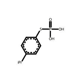 CC(C)c1ccc(SP(=O)(O)O)cc1